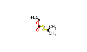 [CH2]COC(=O)SSC(C)C